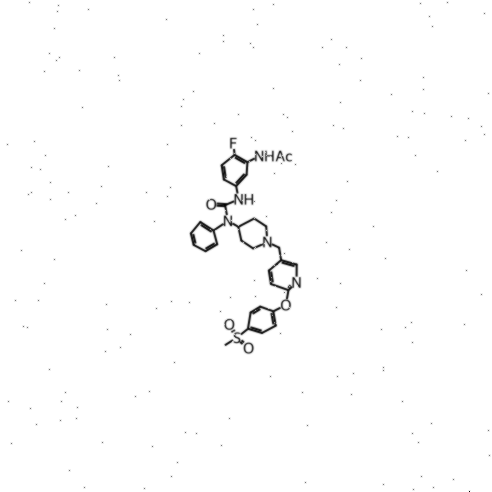 CC(=O)Nc1cc(NC(=O)N(c2ccccc2)C2CCN(Cc3ccc(Oc4ccc(S(C)(=O)=O)cc4)nc3)CC2)ccc1F